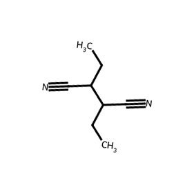 CCC(C#N)C(C#N)CC